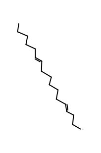 [CH2]CCC=CCCCCCC=CCCCCC